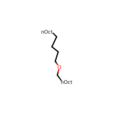 [CH2]CCCCCCCCOCCCCCCCCCCCC